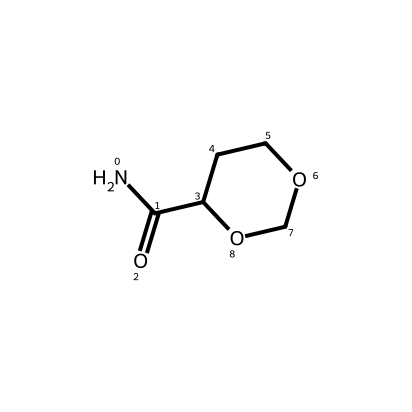 NC(=O)C1CCOCO1